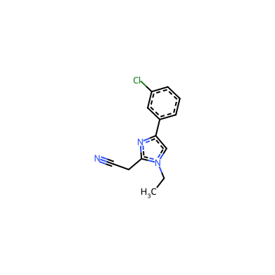 CCn1cc(-c2cccc(Cl)c2)nc1CC#N